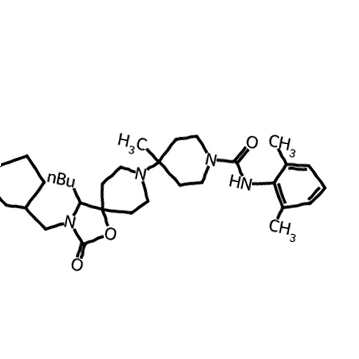 CCCCC1N(CC2CCCCC2)C(=O)OC12CCN(C1(C)CCN(C(=O)Nc3c(C)cccc3C)CC1)CC2